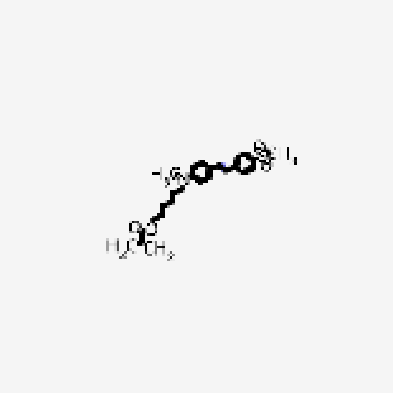 C=C(C)C(=O)OCCCCCCN(C)c1ccc(/C=C/c2ccc(S(C)(=O)=O)cc2)cc1